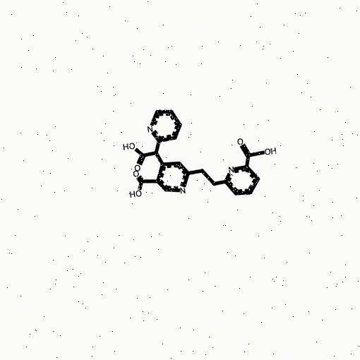 O=C(O)c1cccc(C[CH]c2cc(C(C(=O)O)c3ccccn3)c(C(=O)O)cn2)n1